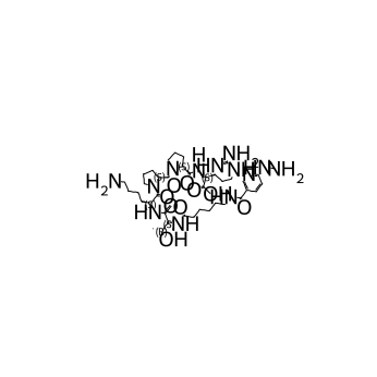 C[C@@H](O)[C@H](NC(=O)CCCCCNC(=O)c1ccc(NN)nc1)C(=O)N[C@@H](CCCCN)C(=O)N1CCC[C@H]1C(=O)N1CCC[C@H]1C(=O)N[C@@H](CCCNC(=N)N)C(=O)O